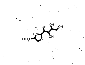 CCOC(=O)C1CSC(C(O)C(O)C(O)CO)N1